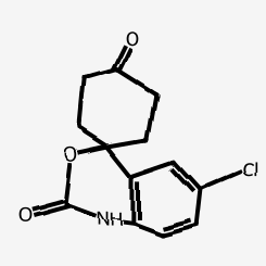 O=C1CCC2(CC1)OC(=O)Nc1ccc(Cl)cc12